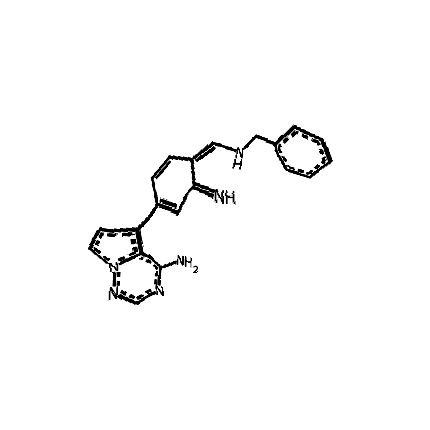 N=C1C=C(c2ccn3ncnc(N)c23)C=C/C1=C/NCc1ccccc1